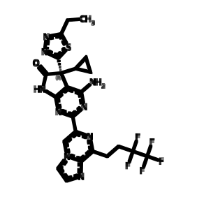 CCc1nnc([C@@]2(C3CC3)C(=O)Nc3nc(-c4cn5ccnc5c(CCC(F)(F)C(F)(F)F)n4)nc(N)c32)s1